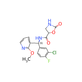 COc1ncccc1[C@@H](NC(=O)C1CNC(=O)O1)c1ccc(F)c(Cl)c1